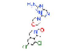 C[C@H]1c2c(Cl)cc(Cl)cc2CCN1C(=O)[C@H]1CN(c2cncc3nc(N)nn23)CCO1